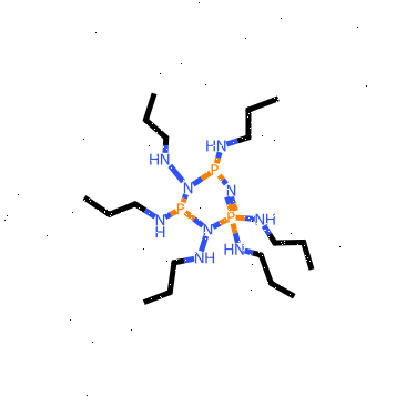 CCCNN1P(NCCC)N=P(NCCC)(NCCC)N(NCCC)P1NCCC